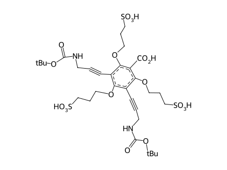 CC(C)(C)OC(=O)NCC#Cc1c(OCCCS(=O)(=O)O)c(C#CCNC(=O)OC(C)(C)C)c(OCCCS(=O)(=O)O)c(C(=O)O)c1OCCCS(=O)(=O)O